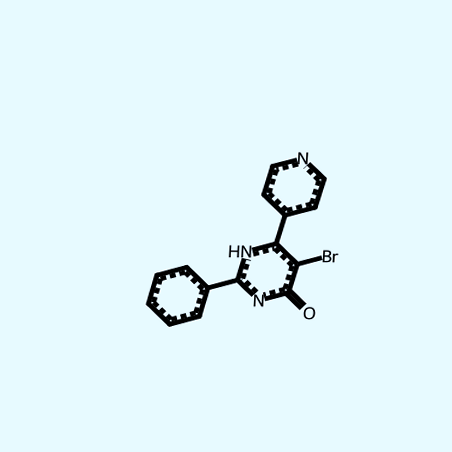 O=c1nc(-c2ccccc2)[nH]c(-c2ccncc2)c1Br